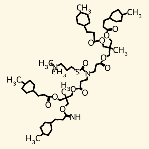 CC1CCC(CCC(=N)OCC(C)(COC(=O)CCC2CCC(C)CC2)COC(=O)CCN(CCC(=O)OCC(C)(COC(=O)CCC2CCC(C)CC2)COC(=O)CCC2CCC(C)CC2)C(=O)SCCCN(C)C)CC1